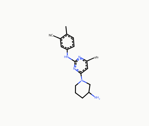 CCCc1cc(N2CCCC(N)C2)nc(Nc2ccc(C)c(C#N)c2)n1